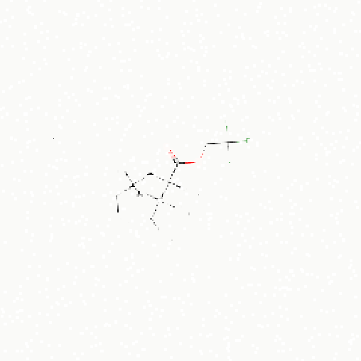 CCC(C)(C)CC(C)(C(=O)OCC(F)(F)F)C(C)(C)CC